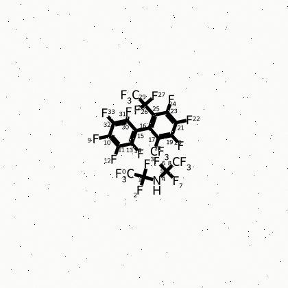 FC(F)(F)C(F)(F)NC(F)(F)C(F)(F)F.Fc1c(F)c(F)c(-c2c(C(F)(F)F)c(F)c(F)c(F)c2C(F)(F)C(F)(F)F)c(F)c1F